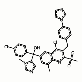 Cc1cc(C(O)(c2ccc(Cl)cc2)c2cncn2C)cc2c(Cl)c(Cc3ccc(-n4cccc4)cc3)c(S(C)(=O)=O)nc12